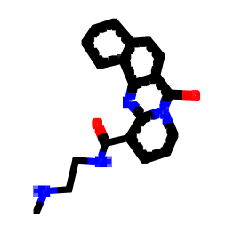 CNCCNC(=O)c1cccn2c(=O)c3ccc4ccccc4c3nc12